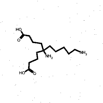 NCCCCCC(N)(CCCC(=O)O)CCCC(=O)O